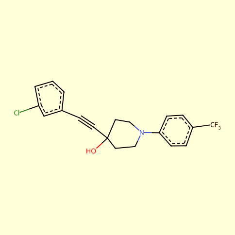 OC1(C#Cc2cccc(Cl)c2)CCN(c2ccc(C(F)(F)F)cc2)CC1